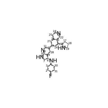 Fc1ccc(Nc2c[nH]c3ncc(-c4cc(C5CCCN5)c5cnccc5c4)cc23)cc1